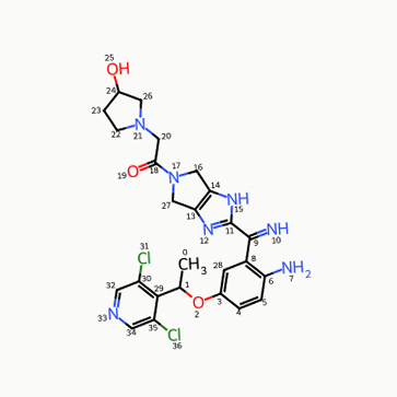 CC(Oc1ccc(N)c(C(=N)c2nc3c([nH]2)CN(C(=O)CN2CCC(O)C2)C3)c1)c1c(Cl)cncc1Cl